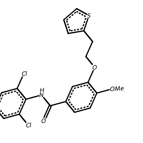 COc1ccc(C(=O)Nc2c(Cl)cncc2Cl)cc1OCCc1cccs1